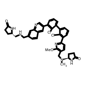 COc1nc(-c2cccc(-c3cccc(-c4cnc5cc(CNC[C@@H]6CCC(=O)N6)ccc5c4)c3Cl)c2Cl)ccc1CN(C)[C@H]1CCC(=O)N1